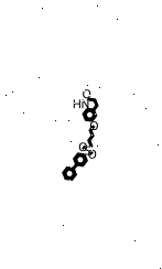 O=C1CCc2cc(OCCCCS(=O)(=O)c3ccc(-c4ccccc4)cc3)ccc2N1